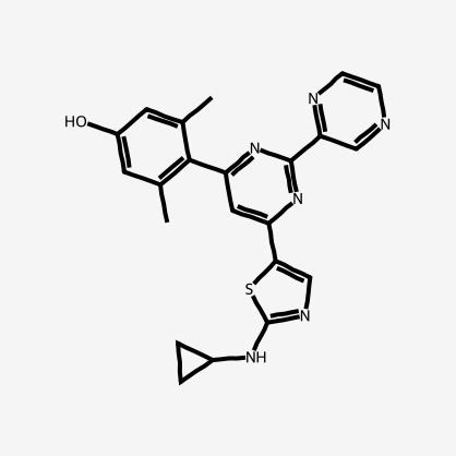 Cc1cc(O)cc(C)c1-c1cc(-c2cnc(NC3CC3)s2)nc(-c2cnccn2)n1